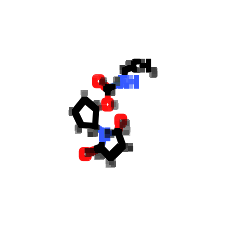 CCNC(=O)O[C@H]1CCC[C@@H]1N1C(=O)C=CC1=O